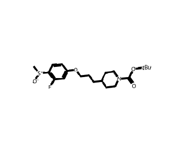 C[S+]([O-])c1ccc(OCCCC2CCN(C(=O)OC(C)(C)C)CC2)cc1F